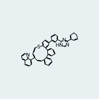 C1=CC(C2=NC(c3cccc(-c4ccc5scccc(-c6cccc7cccnc67)ccc6ccccc6c6ccccc6c5c4)c3)NC=N2)=CCC1